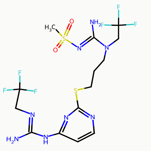 CS(=O)(=O)N=C(N)N(CCCSc1nccc(NC(N)=NCC(F)(F)F)n1)CC(F)(F)F